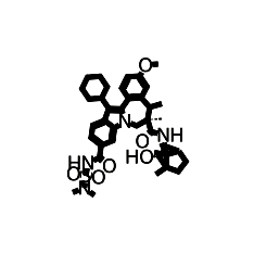 COc1ccc2c(c1)C(C)[C@@](C)(C(=O)N[C@@H]1C3CCC(C)([C@@H]1O)C3(C)C)Cn1c-2c(C2CCCCC2)c2ccc(C(=O)NS(=O)(=O)N(C)C)cc21